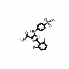 CC(C)S(=O)(=O)c1ccc(Nc2oc(-c3c(F)cccc3F)nc2C(N)=O)cc1